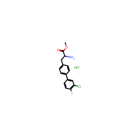 COC(=O)C(N)Cc1ccc(-c2ccc(F)c(Cl)c2)cc1.Cl